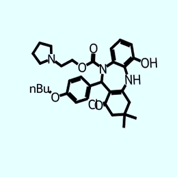 CCCCOc1ccc(C2C3=C(CC(C)(C)CC3=O)Nc3c(O)cccc3N2C(=O)OCCN2CCCC2)c(Cl)c1